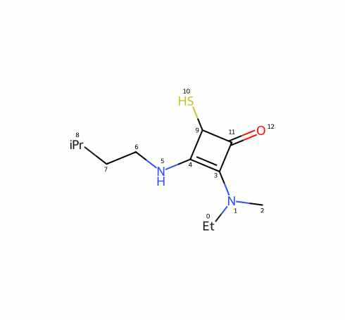 CCN(C)C1=C(NCCC(C)C)C(S)C1=O